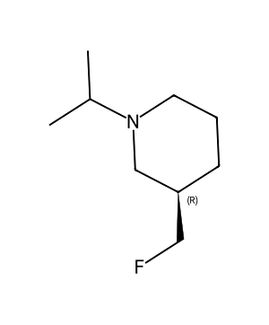 CC(C)N1CCC[C@@H](CF)C1